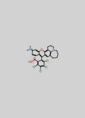 C[N+](C)=c1ccc2c(-c3c(Cl)c(Cl)c(Cl)c(Cl)c3C(=O)O)c3cc4c5c(c3oc-2c1)CCCN5CCCC4